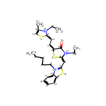 CCCCC[n+]1c(C=c2sc(=CC=C3SC=C(C)N3CC)c(=O)n2CC)sc2ccccc21